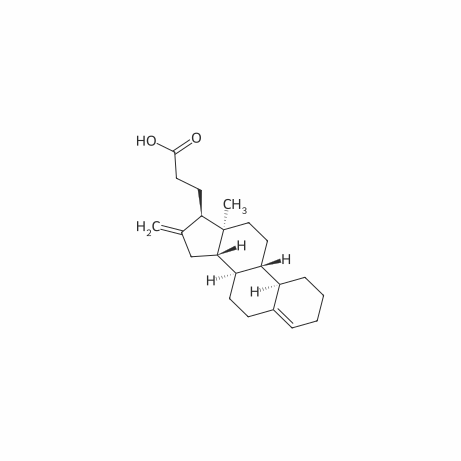 C=C1C[C@H]2[C@@H]3CCC4=CCCC[C@@H]4[C@H]3CC[C@]2(C)[C@@H]1CCC(=O)O